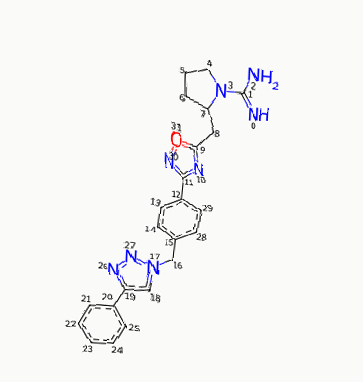 N=C(N)N1CCCC1Cc1nc(-c2ccc(Cn3cc(-c4ccccc4)nn3)cc2)no1